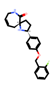 O=C1NCC=CC[C@]12CC[C@H](c1ccc(OCc3ccccc3F)cc1)N2